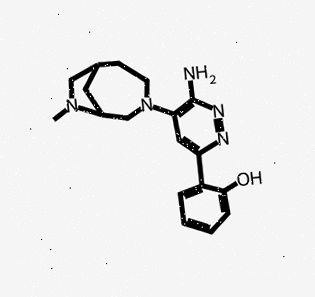 CN1CC2CCN(c3cc(-c4ccccc4O)nnc3N)CC1C2